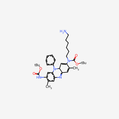 CC1=CC2=Nc3cc(C)c(NC(=O)OC(C)(C)C)cc3N(c3ccccc3)C2C=C1N(CCCCCCN)C(=O)OC(C)(C)C